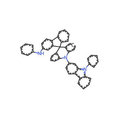 c1ccc(Nc2ccc3c(c2)C2(c4ccccc4-3)c3ccccc3N(c3ccc4c5ccccc5n(-c5ccccc5)c4c3)c3ccccc32)cc1